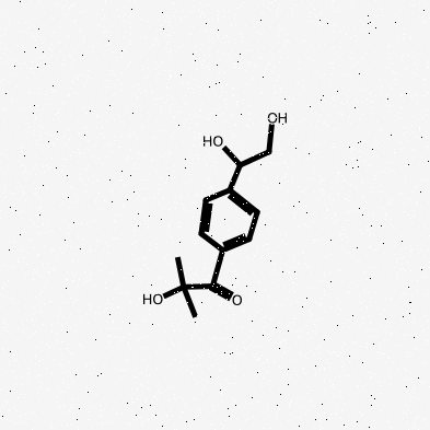 CC(C)(O)C(=O)c1ccc(C(O)CO)cc1